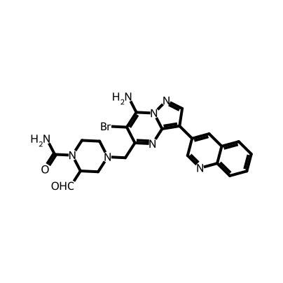 NC(=O)N1CCN(Cc2nc3c(-c4cnc5ccccc5c4)cnn3c(N)c2Br)CC1C=O